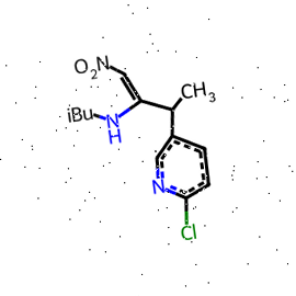 CCC(C)NC(=C[N+](=O)[O-])C(C)c1ccc(Cl)nc1